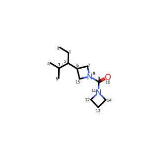 CCC(C(C)C)C1CN(C(=O)N2CCC2)C1